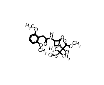 COC(=O)C(Cl)(N1CC(NC(=O)Cc2c(OC)cccc2OC)C1=O)C(C)(C)SCl